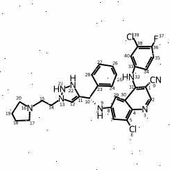 N#Cc1cnc2c(Cl)cc(N[C@H](C3=CN(CCN4CCCC4)NN3)c3ccccc3)cc2c1Nc1ccc(F)c(Cl)c1